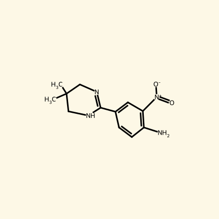 CC1(C)CN=C(c2ccc(N)c([N+](=O)[O-])c2)NC1